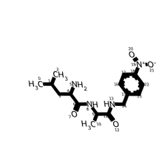 CC(C)CC(N)C(=O)NC(C)C(=O)NCc1ccc([N+](=O)[O-])cc1